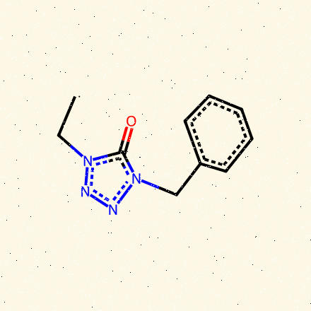 [CH2]Cn1nnn(Cc2ccccc2)c1=O